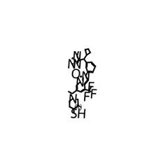 CC(c1cc(C(F)(F)F)c2cn(-c3cccc(C(c4nncn4C)C4CCC4)c3)c(=O)n2c1)N1CCC(S)[C@H](C)C1